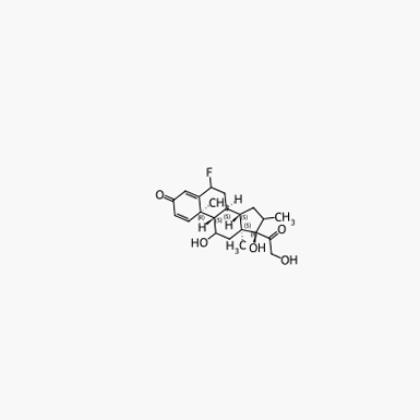 CC1C[C@H]2[C@@H]3CC(F)C4=CC(=O)C=C[C@]4(C)[C@H]3C(O)C[C@]2(C)[C@@]1(O)C(=O)CO